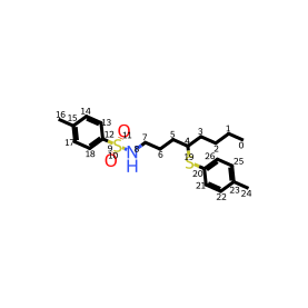 CCCCC(CCCNS(=O)(=O)c1ccc(C)cc1)Sc1ccc(C)cc1